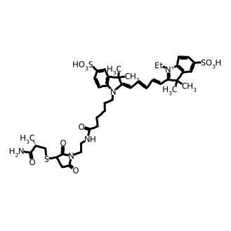 CC[N+]1=C(/C=C/C=C/C=C2/N(CCCCCC(=O)NCCN3C(=O)CC(SC[C@@H](C)C(N)=O)C3=O)c3ccc(S(=O)(=O)O)cc3C2(C)C)C(C)(C)c2cc(S(=O)(=O)O)ccc21